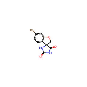 O=C1NC(=O)C2(COc3cc(Br)ccc32)N1